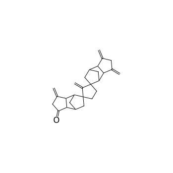 C=C1CC(=C)C2C1C1CC2C2(CCC3(CC4CC3C3C(=C)CC(=O)C43)C2=C)C1